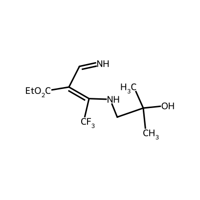 CCOC(=O)/C(C=N)=C(/NCC(C)(C)O)C(F)(F)F